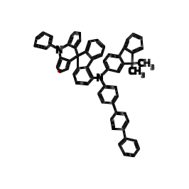 CC1(C)c2ccccc2-c2ccc(N(c3ccc(-c4ccc(-c5ccccc5)cc4)cc3)c3cccc4c3-c3ccccc3C43c4ccccc4N(c4ccccc4)c4ccccc43)cc21